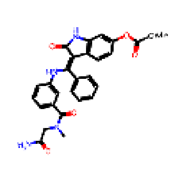 COC(=O)Oc1ccc2c(c1)NC(=O)/C2=C(\Nc1cccc(C(=O)N(C)CC(N)=O)c1)c1ccccc1